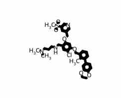 Cc1c(COc2cc(OCc3cncc(S(C)(=O)=O)c3)c(CNCCCN(C)C)cc2Cl)cccc1-c1ccc2c(c1)OCCO2